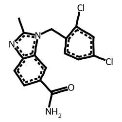 Cc1nc2ccc(C(N)=O)cc2n1Cc1ccc(Cl)cc1Cl